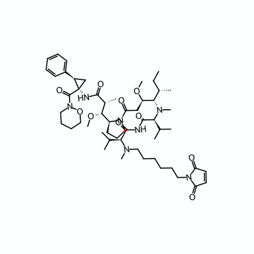 CC[C@H](C)[C@@H]([C@@H](CC(=O)N1CCC[C@H]1[C@H](OC)[C@@H](C)C(=O)N[C@@]1(C(=O)N2CCCCO2)C[C@@H]1c1ccccc1)OC)N(C)[C@H](C(=O)NC(=O)[C@H](C(C)C)N(C)CCCCCCN1C(=O)C=CC1=O)C(C)C